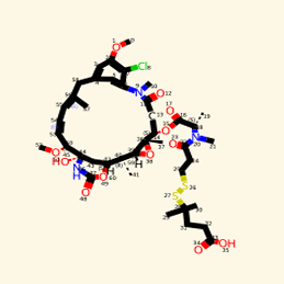 COc1cc2cc(c1Cl)N(C)C(=O)C[C@H](OC(=O)[C@H](C)N(C)C(=O)CCSSC(C)(C)CCC(=O)O)[C@]1(C)O[C@H]1[C@H](C)[C@@H]1C[C@@](O)(NC(=O)O1)[C@H](OC)/C=C/C=C(\C)C2